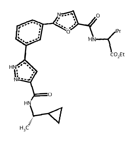 CCOC(=O)C(NC(=O)c1cnc(-c2cccc(-c3cc(C(=O)N[C@@H](C)C4CC4)n[nH]3)c2)o1)C(C)C